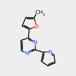 Cc1ccc(-c2ccnc(-c3ccccn3)n2)o1